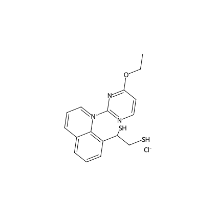 CCOc1ccnc(-[n+]2cccc3cccc(C(S)CS)c32)n1.[Cl-]